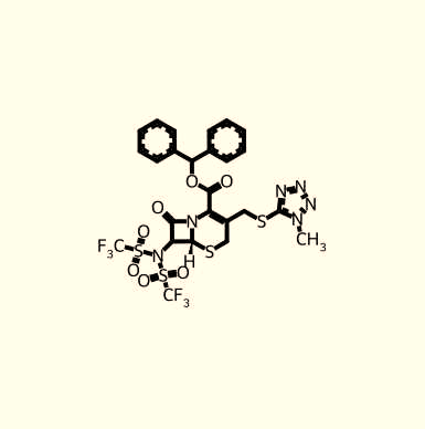 Cn1nnnc1SCC1=C(C(=O)OC(c2ccccc2)c2ccccc2)N2C(=O)C(N(S(=O)(=O)C(F)(F)F)S(=O)(=O)C(F)(F)F)[C@H]2SC1